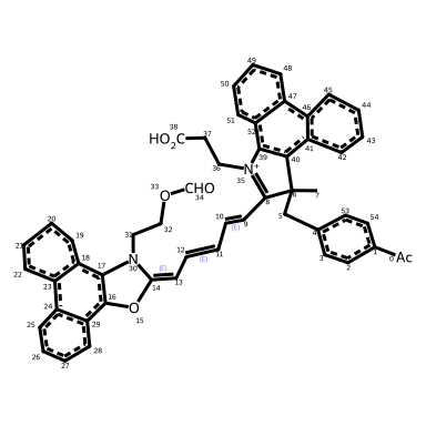 CC(=O)c1ccc(CC2(C)C(/C=C/C=C/C=C3/Oc4c(c5ccccc5c5ccccc45)N3CCOC=O)=[N+](CCC(=O)O)c3c2c2ccccc2c2ccccc32)cc1